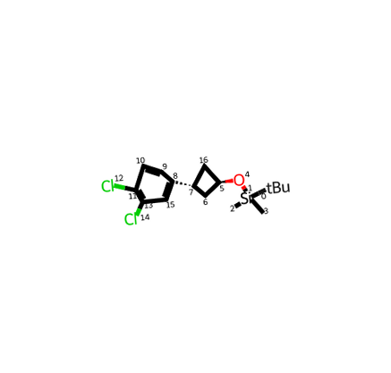 CC(C)(C)[Si](C)(C)O[C@H]1C[C@H](c2ccc(Cl)c(Cl)c2)C1